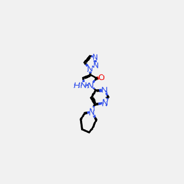 O=c1c(-n2ccnn2)c[nH]n1-c1cc(N2CCCCCC2)ncn1